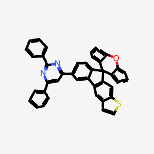 c1ccc(-c2cc(-c3ccc4c(c3)-c3cc5ccsc5cc3C43c4ccccc4Oc4ccccc43)nc(-c3ccccc3)n2)cc1